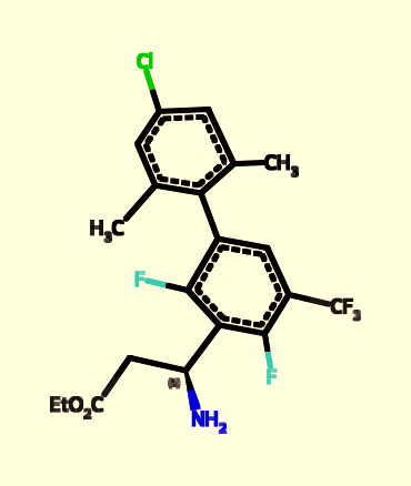 CCOC(=O)C[C@H](N)c1c(F)c(-c2c(C)cc(Cl)cc2C)cc(C(F)(F)F)c1F